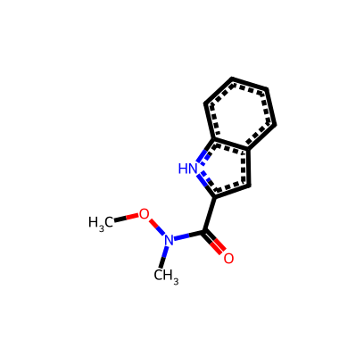 CON(C)C(=O)c1cc2ccccc2[nH]1